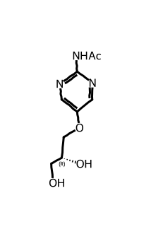 CC(=O)Nc1ncc(OC[C@H](O)CO)cn1